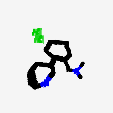 CN(C)CC1=C(c2cccnc2)CCCC1.Cl.Cl